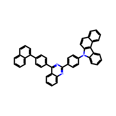 c1ccc2c(-c3ccc(-c4nc(-c5ccc(-n6c7ccccc7c7c8ccccc8ccc76)cc5)nc5ccccc45)cc3)cccc2c1